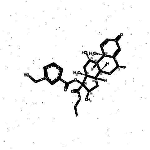 C[C@@H]1C[C@H]2[C@@H]3C[C@H](F)C4=CC(=O)C=C[C@]4(C)[C@@]3(F)[C@@H](O)C[C@]2(C)[C@@]1(OC(=O)c1cccc(CO)c1)C(=O)SCF